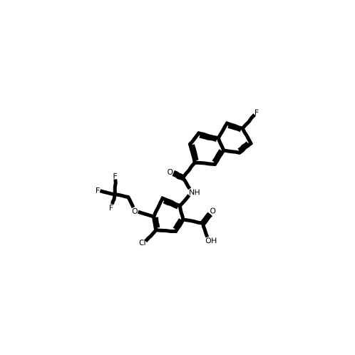 O=C(Nc1cc(OCC(F)(F)F)c(Cl)cc1C(=O)O)c1ccc2cc(F)ccc2c1